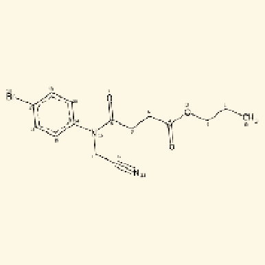 CCCOC(=O)CCC(=O)N(CC#N)c1ccc(Br)cc1